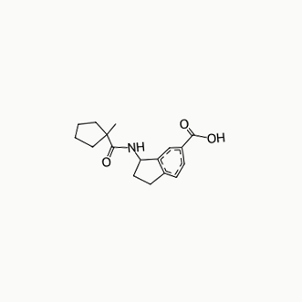 CC1(C(=O)NC2CCc3ccc(C(=O)O)cc32)CCCC1